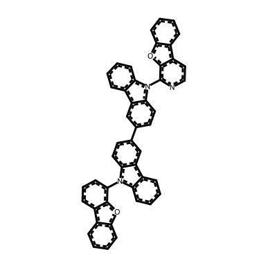 c1ccc2c(c1)oc1c(-n3c4ccccc4c4cc(-c5ccc6c(c5)c5ccccc5n6-c5nccc6c5oc5ccccc56)ccc43)cccc12